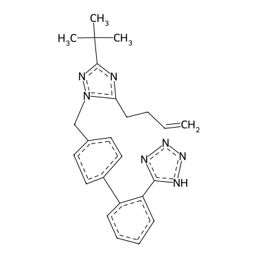 C=CCCc1nc(C(C)(C)C)nn1Cc1ccc(-c2ccccc2-c2nnn[nH]2)cc1